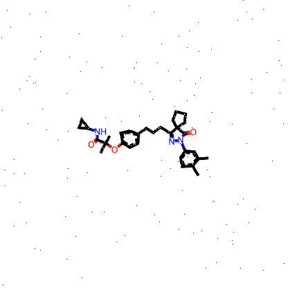 Cc1ccc(N2N=C(CCCc3ccc(OC(C)(C)C(=O)NC4CC4)cc3)C3(CCCC3)C2=O)cc1C